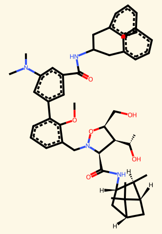 COc1c(CN2O[C@@H](CO)[C@@H]([C@H](C)O)[C@H]2C(=O)N[C@H]2C[C@H]3C[C@@H]([C@@H]2C)C3(C)C)cccc1-c1cc(C(=O)NC(Cc2ccccc2)Cc2ccccc2)cc(N(C)C)c1